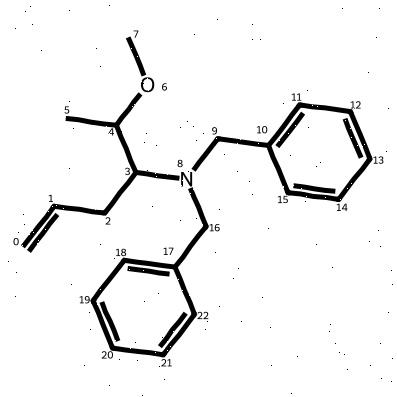 C=CCC(C(C)OC)N(Cc1ccccc1)Cc1ccccc1